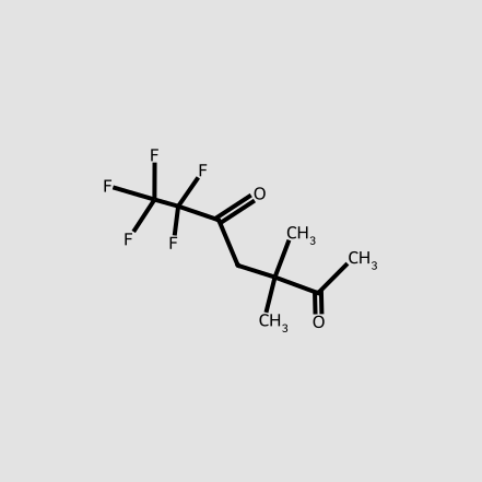 CC(=O)C(C)(C)CC(=O)C(F)(F)C(F)(F)F